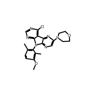 COc1ccc(C)c(-n2c3ncc(N4CCOCC4)nc3c3c(Cl)ncnc32)c1C